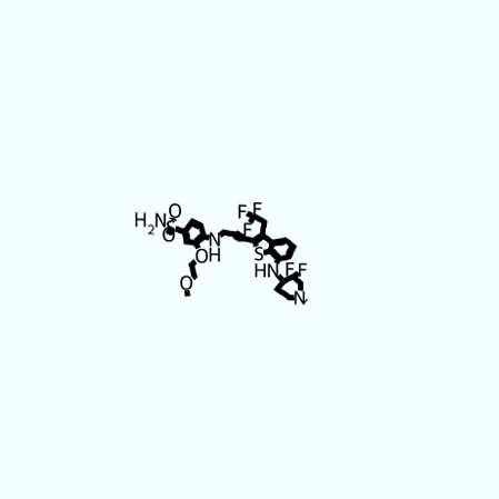 COCCOc1cc(S(N)(=O)=O)ccc1NCC#Cc1sc2c(NC3CCN(C)CC3(F)F)cccc2c1CC(F)(F)F